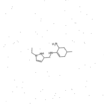 CCN1C=CC(CNC2=CCC(C)CC2N)N1